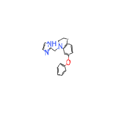 c1ccc(Oc2ccc3c(c2)N(Cc2ncc[nH]2)CCC3)cc1